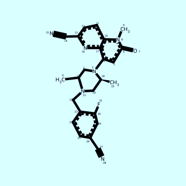 CC1CN(c2cc(=O)n(C)c3ccc(C#N)nc23)[C@@H](C)CN1Cc1ccc(C#N)cc1F